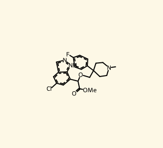 COC(=O)C(OCC1(c2ccc(F)cc2)CCN(C)CC1)c1cc(Cl)cc2cn[nH]c12